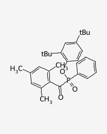 Cc1cc(C)c(C(=O)P(=O)(Oc2ccc(C(C)(C)C)cc2C(C)(C)C)c2ccccc2)c(C)c1